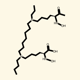 CCCCN(CCCCCCCN(CCC)CCCC[C@H](NO)C(C)=O)CCCC[C@H](NO)C(=O)O